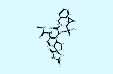 CNC(=O)Nc1ccc2c(c1CC(=O)N(Cc1ccccc1)[C@H](C1CC1)C(F)(F)F)CC[C@@]21OC(=O)NC1=O